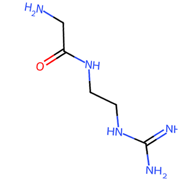 N=C(N)NCCNC(=O)CN